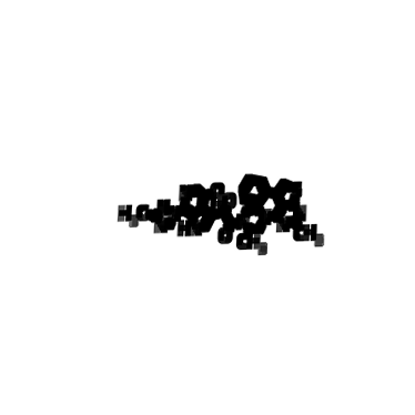 Cc1nc(N2CCN(C(=O)C(=O)c3c[nH]c4c(-n5cnc(C)n5)ncc(O)c34)[C@H](C)C2)c2c(-c3ccccc3)csc2n1